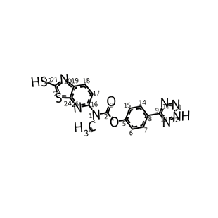 CN(C(=O)Oc1ccc(-c2nn[nH]n2)cc1)c1ccc2nc(S)sc2n1